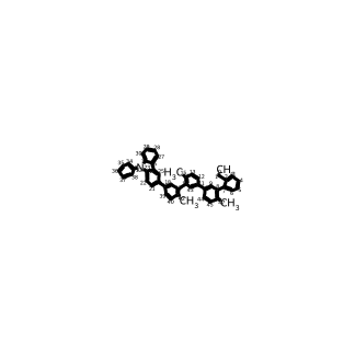 CCc1ccccc1-c1cc(-c2ccc(C)c(-c3cc(-c4ccc5c(c4)c4ccccc4n5-c4ccccc4)ccc3C)c2)ccc1C